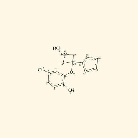 Cl.N#Cc1ccc(Cl)cc1OC1(c2cccs2)CNC1